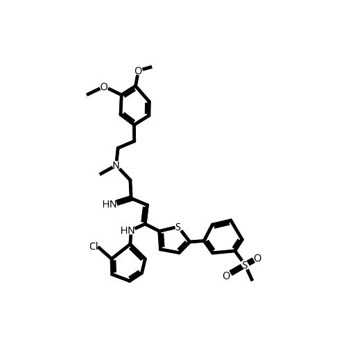 COc1ccc(CCN(C)CC(=N)/C=C(\Nc2ccccc2Cl)c2ccc(-c3cccc(S(C)(=O)=O)c3)s2)cc1OC